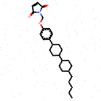 CCCCCC1CCC(C2CCC(c3ccc(OCN4C(=O)C=CC4=O)cc3)CC2)CC1